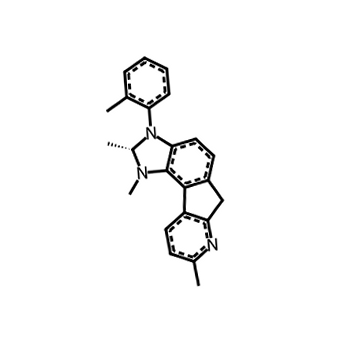 Cc1ccc2c(n1)Cc1ccc3c(c1-2)N(C)[C@H](C)N3c1ccccc1C